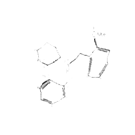 COc1ccccc1CN[C@H]1CCCN[C@H]1c1ccccc1F